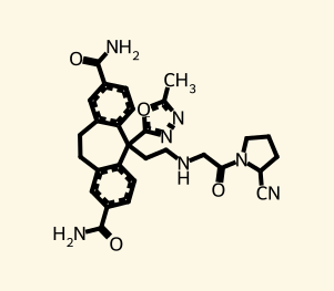 Cc1nnc(C2(CCNCC(=O)N3CCCC3C#N)c3ccc(C(N)=O)cc3CCc3cc(C(N)=O)ccc32)o1